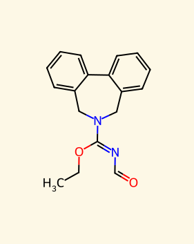 CCO/C(=N\C=O)N1Cc2ccccc2-c2ccccc2C1